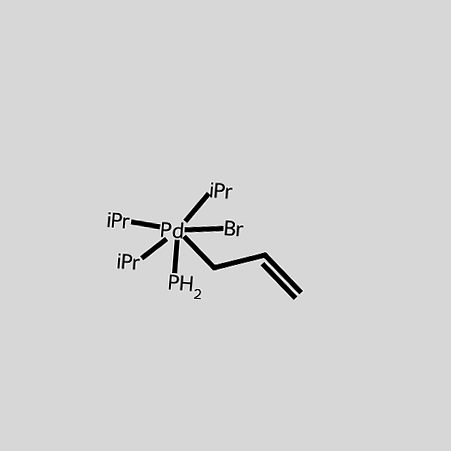 C=C[CH2][Pd]([PH2])([Br])([CH](C)C)([CH](C)C)[CH](C)C